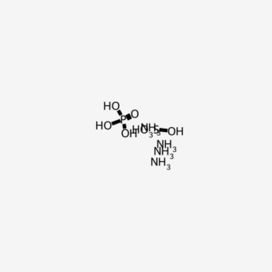 N.N.N.N.O=P(O)(O)O.O=S(=O)(O)O